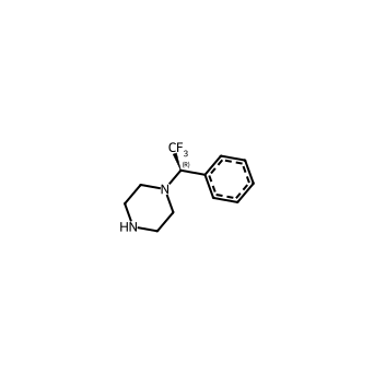 FC(F)(F)[C@@H](c1ccccc1)N1CCNCC1